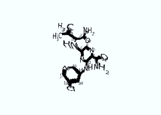 CC(C)[C@@H](Nc1cnc(C(N)=O)c(Nc2cncc(Cl)c2)n1)C(N)=O